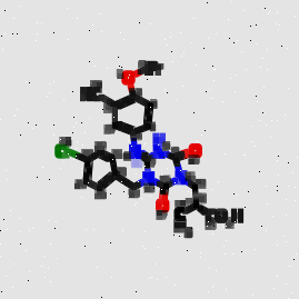 CC(C)Oc1ccc(/N=c2\[nH]c(=O)n(C[C@H](C)C(=O)O)c(=O)n2Cc2ccc(Cl)cc2)cc1C#N